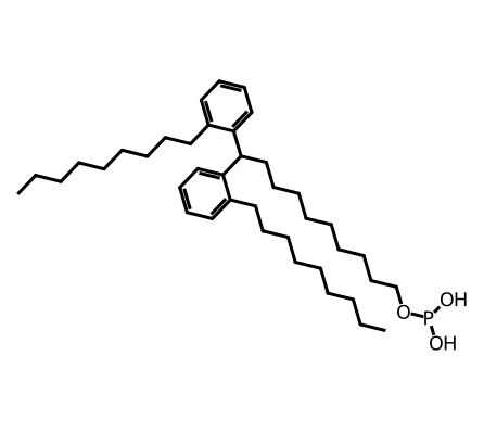 CCCCCCCCCc1ccccc1C(CCCCCCCCCOP(O)O)c1ccccc1CCCCCCCCC